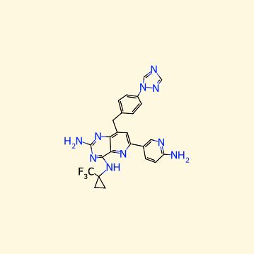 Nc1ccc(-c2cc(Cc3ccc(-n4cncn4)cc3)c3nc(N)nc(NC4(C(F)(F)F)CC4)c3n2)cn1